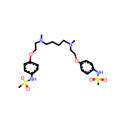 CN(CCCCN(C)CCOc1ccc(NS(C)(=O)=O)cc1)CCOc1ccc(NS(C)(=O)=O)cc1